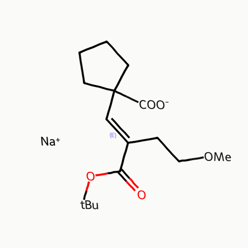 COCC/C(=C\C1(C(=O)[O-])CCCC1)C(=O)OC(C)(C)C.[Na+]